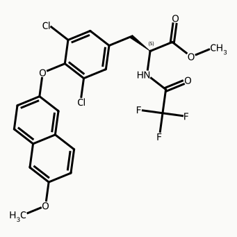 COC(=O)[C@H](Cc1cc(Cl)c(Oc2ccc3cc(OC)ccc3c2)c(Cl)c1)NC(=O)C(F)(F)F